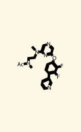 CC(=O)N(C)CCN(C)c1cncc(Oc2ccc(-c3cccnc3)c(F)c2F)n1